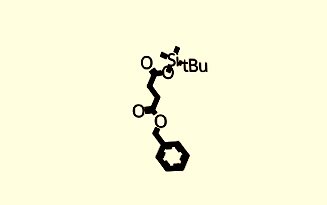 CC(C)(C)[Si](C)(C)OC(=O)CCC(=O)OCc1ccccc1